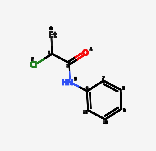 CCC(Cl)C(=O)Nc1[c]cccc1